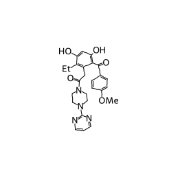 CCc1c(O)cc(O)c(C(=O)c2ccc(OC)cc2)c1CC(=O)N1CCN(c2ncccn2)CC1